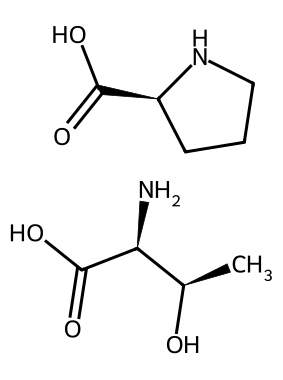 C[C@@H](O)[C@H](N)C(=O)O.O=C(O)[C@@H]1CCCN1